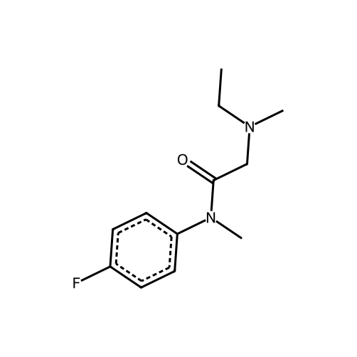 CCN(C)CC(=O)N(C)c1ccc(F)cc1